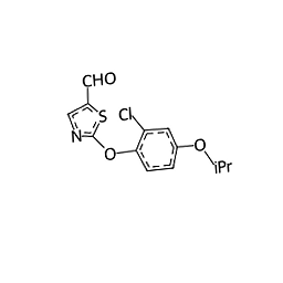 CC(C)Oc1ccc(Oc2ncc(C=O)s2)c(Cl)c1